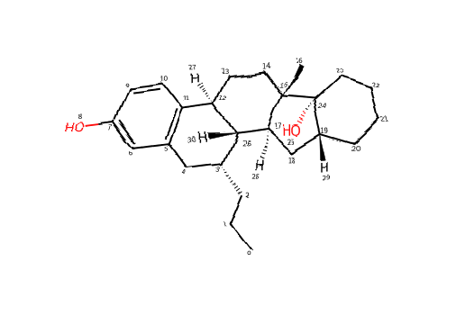 CCC[C@@H]1Cc2cc(O)ccc2[C@H]2CC[C@@]3(C)[C@@H](C[C@H]4CCCC[C@@]43O)[C@H]12